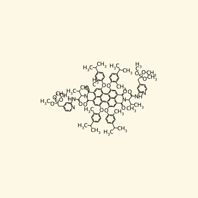 CO[Si](Cc1ccnc(NC(=O)C(C(C)C)N2C(=O)c3cc(Oc4ccc(C(C)C)cc4C)c4c5c(Oc6ccc(C(C)C)cc6C)cc6c7c(cc(Oc8ccc(C(C)C)cc8C)c(c8c(Oc9ccc(C(C)C)cc9C)cc(c3c48)C2=O)c75)C(=O)N(C(C(=O)Nc2cc(C[Si](OC)(OC)OC)ccn2)C(C)C)C6=O)c1)(OC)OC